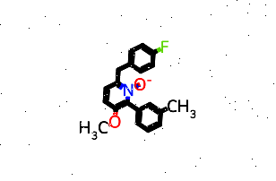 COc1ccc(Cc2ccc(F)cc2)[n+]([O-])c1-c1cccc(C)c1